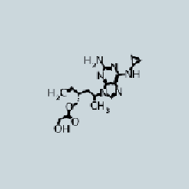 C=C[C@@H](COC(=O)CO)CC(C)n1cnc2c(NC3CC3)nc(N)nc21